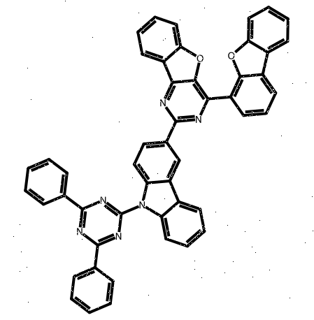 c1ccc(-c2nc(-c3ccccc3)nc(-n3c4ccccc4c4cc(-c5nc(-c6cccc7c6oc6ccccc67)c6oc7ccccc7c6n5)ccc43)n2)cc1